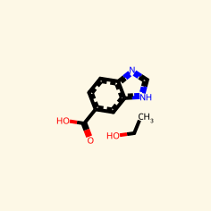 CCO.O=C(O)c1ccc2nc[nH]c2c1